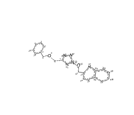 c1ccc(COCc2nnn(OCc3ccc4ccccc4n3)n2)cc1